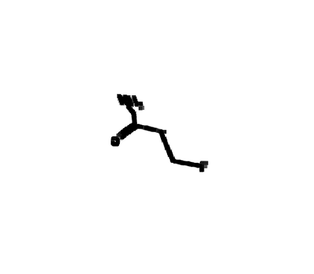 NC(=O)[CH]CF